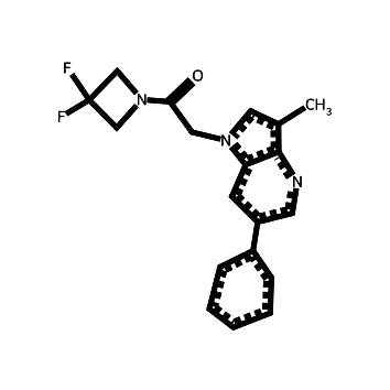 Cc1cn(CC(=O)N2CC(F)(F)C2)c2cc(-c3ccccc3)cnc12